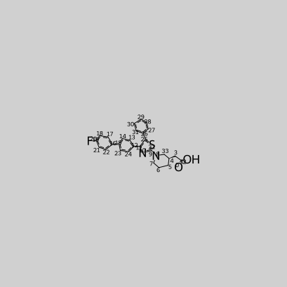 O=C(O)C[C@H]1CCCN(c2nc(-c3ccc(-c4ccc(F)cc4)cc3)c(-c3ccccc3)s2)C1